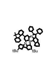 CC(C)(C)c1ccc2c(c1)c1cc(C(C)(C)C)cc3c1n2-c1cc(-c2cccc4c2-c2ccccc2C4(C)C)cc2c1B3c1c3ccccc3cc3c(-c4ccccc4)c(-c4ccccc4)n-2c13